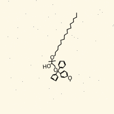 CCCCCCCCCCCCCCCCOC(C)(C)C(O)COC(c1ccccc1)(c1ccccc1)c1ccc(OC)cc1